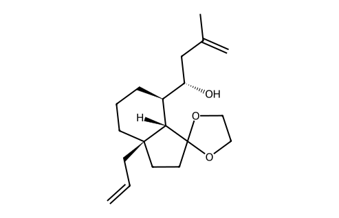 C=CC[C@@]12CCC[C@@H]([C@@H](O)CC(=C)C)[C@@H]1C1(CC2)OCCO1